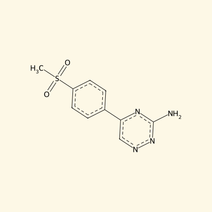 CS(=O)(=O)c1ccc(-c2cnnc(N)n2)cc1